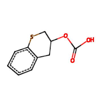 O=C(O)OC1CSc2ccccc2C1